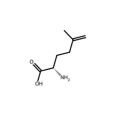 C=C(C)CC[C@H](N)C(=O)O